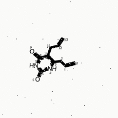 C=CCc1[nH]c(=O)[nH]c(=O)c1CC=C